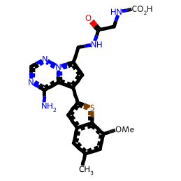 COc1cc(C)cc2cc(-c3cc(CNC(=O)CNC(=O)O)n4ncnc(N)c34)sc12